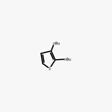 CCCCc1ccsc1CCCC